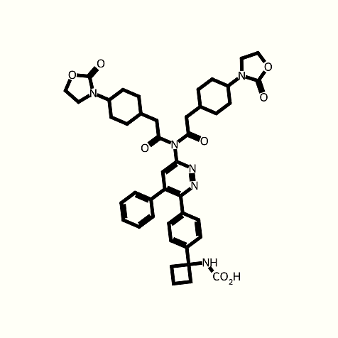 O=C(O)NC1(c2ccc(-c3nnc(N(C(=O)CC4CCC(N5CCOC5=O)CC4)C(=O)CC4CCC(N5CCOC5=O)CC4)cc3-c3ccccc3)cc2)CCC1